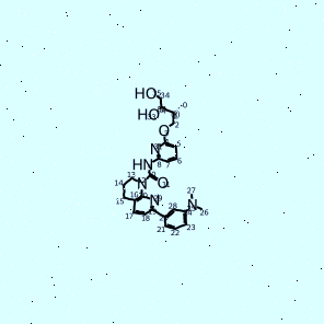 C[C@H](COc1cccc(NC(=O)N2CCCc3ccc(-c4cccc(N(C)C)c4)nc32)n1)[C@H](O)CO